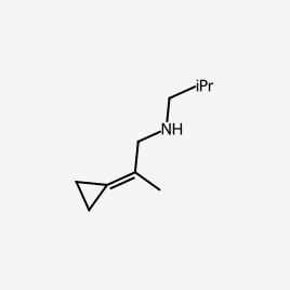 CC(CNCC(C)C)=C1CC1